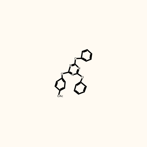 CC(=O)Oc1ccc(Oc2nc(Oc3ccccc3)nc(Oc3ccccc3)n2)cc1